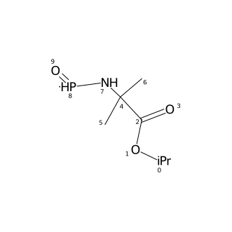 CC(C)OC(=O)C(C)(C)N[PH]=O